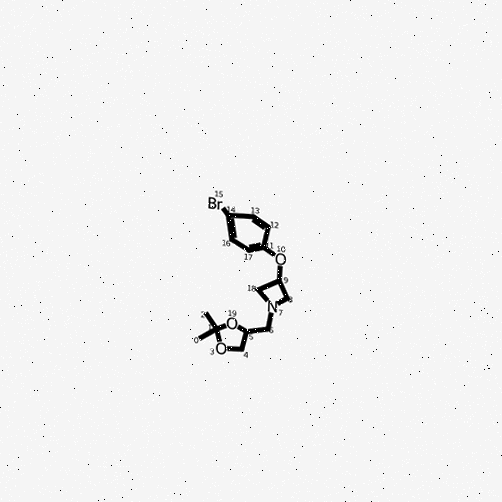 CC1(C)OCC(CN2CC(Oc3ccc(Br)cc3)C2)O1